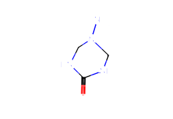 NN1CNC(=O)NC1